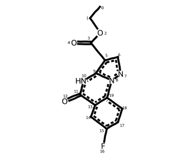 CCOC(=O)c1cnn2c1[nH]c(=O)c1cc(F)ccc12